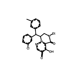 CCN1CC(C(c2cccc(C)c2)c2cccc(Cl)c2)n2ncc(=O)c(O)c2C1=O